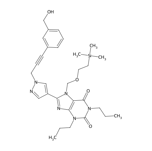 CCCn1c(=O)c2c(nc(-c3cnn(CC#Cc4cccc(CO)c4)c3)n2COCC[Si](C)(C)C)n(CCC)c1=O